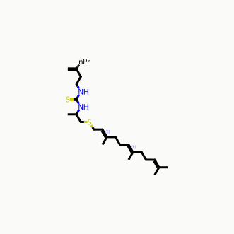 C=C(CCC)CCNC(=S)NC(C)CSC/C=C(\C)CC/C=C(\C)CCC=C(C)C